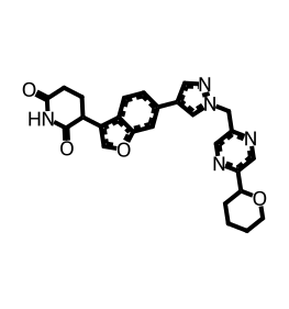 O=C1CCC(c2coc3cc(-c4cnn(Cc5cnc(C6CCCCO6)cn5)c4)ccc23)C(=O)N1